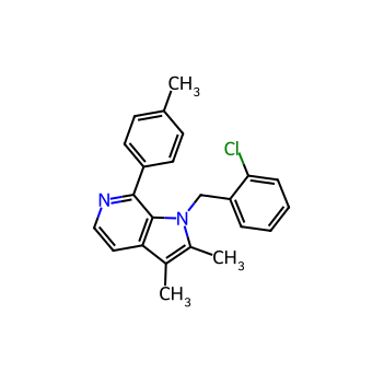 Cc1ccc(-c2nccc3c(C)c(C)n(Cc4ccccc4Cl)c23)cc1